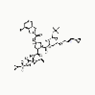 C=CC1C[C@]1(NC(=O)C1C[C@@H](OC(=O)N2Cc3cccc(F)c3C2)CN1C(=O)[C@H](CCOC/C=C/C1CC1)NC(=O)OC(C)(C)C)C(=O)NS(=O)(=O)C1CC1